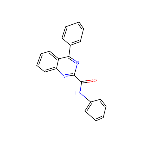 O=C(Nc1ccccc1)c1nc(-c2ccccc2)c2ccccc2n1